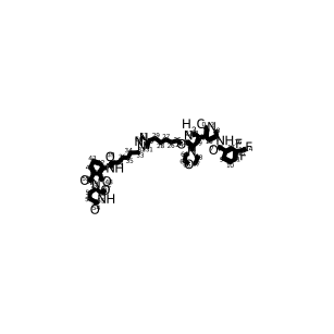 Cc1ncc(NC(=O)c2cccc(C(F)(F)F)c2)cc1-c1cnc(OCCCCCc2cn(CCCCCC(=O)Nc3cccc4c3C(=O)N(C3CCC(=O)NC3=O)C4=O)nn2)c(N2CCOCC2)c1